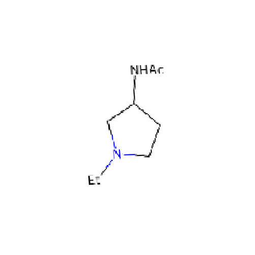 [CH2]CN1CCC(NC(C)=O)C1